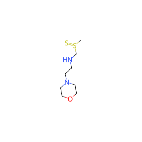 CS(=S)CNCCN1CCOCC1